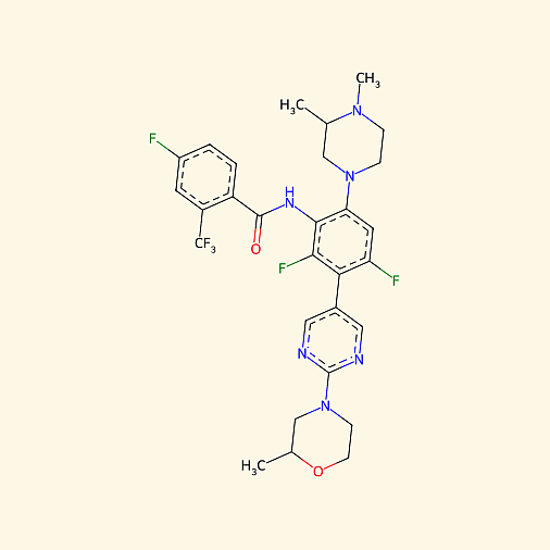 CC1CN(c2ncc(-c3c(F)cc(N4CCN(C)C(C)C4)c(NC(=O)c4ccc(F)cc4C(F)(F)F)c3F)cn2)CCO1